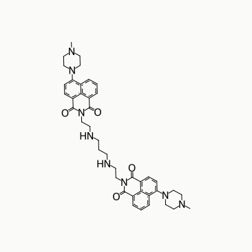 CN1CCN(c2ccc3c4c(cccc24)C(=O)N(CCNCCCNCCN2C(=O)c4cccc5c(N6CCN(C)CC6)ccc(c45)C2=O)C3=O)CC1